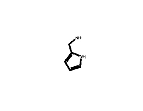 [NH]Cc1ccc[nH]1